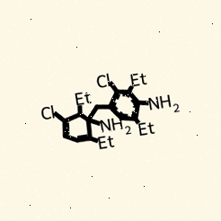 CCC1=CC=C(Cl)C(CC)C1(N)Cc1cc(CC)c(N)c(CC)c1Cl